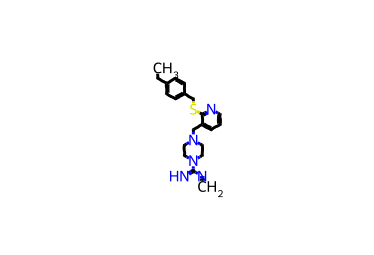 C=NC(=N)N1CCN(Cc2cccnc2SCc2ccc(CC)cc2)CC1